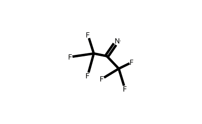 [N]=C(C(F)(F)F)C(F)(F)F